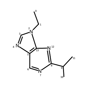 CCn1cnc2cnc(C(C)C)nc21